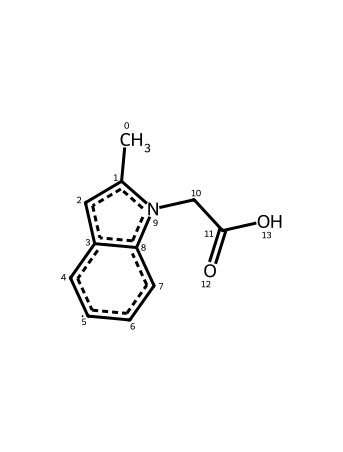 Cc1cc2c[c]ccc2n1CC(=O)O